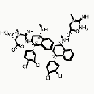 CN(CC(=O)[O-])C(=N)N.CN(CC(=O)[O-])C(=N)N.CN[C@H]1CC[C@@H](c2ccc(Cl)c(Cl)c2)c2ccccc21.CN[C@H]1CC[C@@H](c2ccc(Cl)c(Cl)c2)c2ccccc21.Cl.[Mg+2]